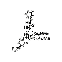 COc1ccc([C@@]23CC[C@@H](NC(=S)NCc4ccccc4)C[C@@H]2N(Cc2ccc(OC(F)(F)F)cc2)CC3)cc1OC